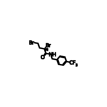 O=C(NCc1ccc(C(F)(F)F)cc1)[C@@H](Br)CCBr